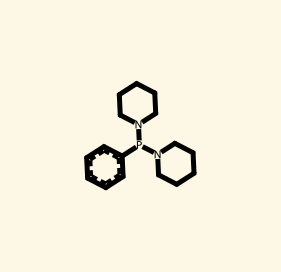 c1ccc(P(N2CCCCC2)N2CCCCC2)cc1